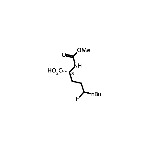 CCCCC(F)CC[C@@H](NC(=O)OC)C(=O)O